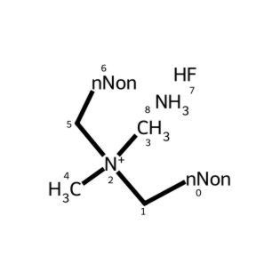 CCCCCCCCCC[N+](C)(C)CCCCCCCCCC.F.N